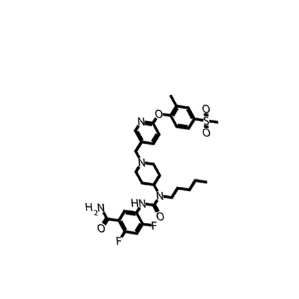 CCCCCN(C(=O)Nc1cc(C(N)=O)c(F)cc1F)C1CCN(Cc2ccc(Oc3ccc(S(C)(=O)=O)cc3C)nc2)CC1